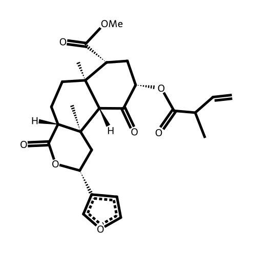 C=CC(C)C(=O)O[C@H]1C[C@@H](C(=O)OC)[C@]2(C)CC[C@H]3C(=O)O[C@@H](c4ccoc4)C[C@]3(C)[C@H]2C1=O